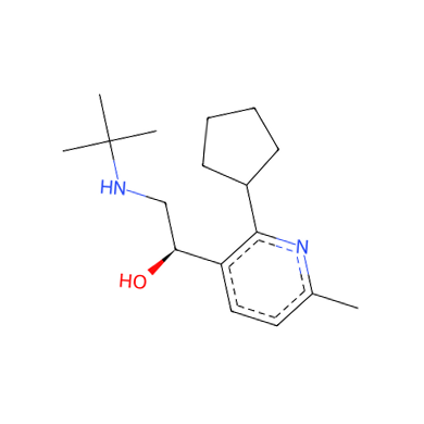 Cc1ccc([C@@H](O)CNC(C)(C)C)c(C2CCCC2)n1